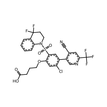 N#Cc1cc(C(F)(F)F)ncc1-c1cc(S(=O)(=O)N2CCC(F)(F)c3ccccc32)c(OCCCC(=O)O)cc1Cl